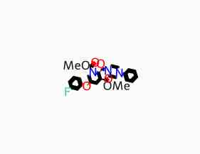 COC(=O)[C@H]1C[C@H](Oc2cccc(F)c2)CN(C(=O)OC)[C@@H]1C(=O)N1CCN(c2ccccc2)CC1